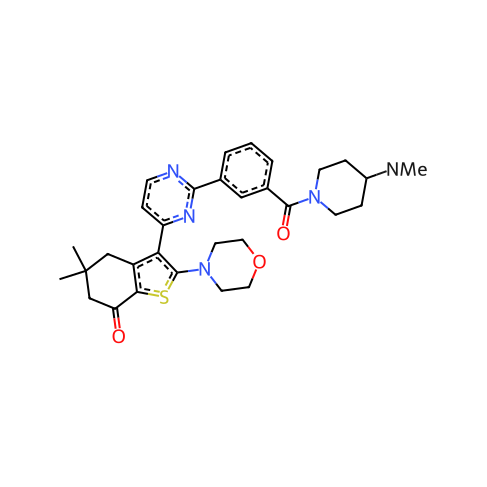 CNC1CCN(C(=O)c2cccc(-c3nccc(-c4c(N5CCOCC5)sc5c4CC(C)(C)CC5=O)n3)c2)CC1